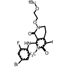 Cn1c(Nc2ccc(Br)cc2F)c2c(c(I)c1=O)CCN(OCCOC(C)(C)C)C2=O